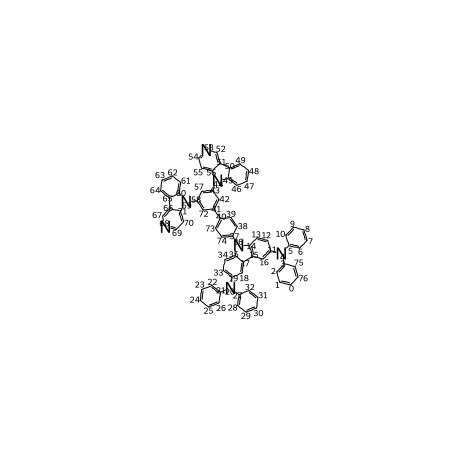 c1ccc(N(c2ccccc2)c2ccc3c(c2)c2cc(N(c4ccccc4)c4ccccc4)ccc2n3-c2ccc(-c3cc(-n4c5ccccc5c5cnccc54)cc(-n4c5ccccc5c5cnccc54)c3)cc2)cc1